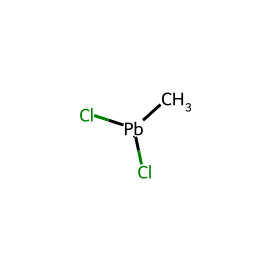 [CH3][Pb]([Cl])[Cl]